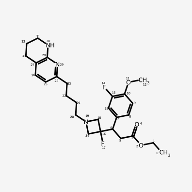 CCOC(=O)CC(c1ccc(OC)c(F)c1)C1(F)CN(CCCCc2ccc3c(n2)NCCC3)C1